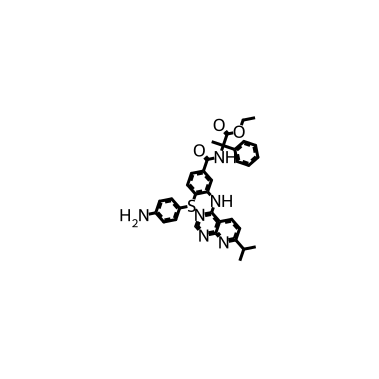 CCOC(=O)C(C)(NC(=O)c1ccc(Sc2ccc(N)cc2)c(Nc2ncnc3nc(C(C)C)ccc23)c1)c1ccccc1